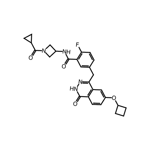 O=C(NC1CN(C(=O)C2CC2)C1)c1cc(Cc2n[nH]c(=O)c3ccc(OC4CCC4)cc23)ccc1F